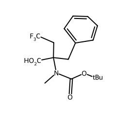 CN(C(=O)OC(C)(C)C)C(Cc1ccccc1)(CC(F)(F)F)C(=O)O